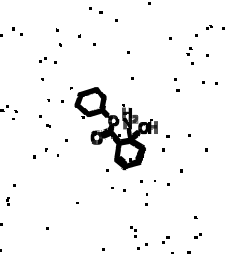 NC1(O)C=CC=CC1C(=O)OC1CCCCC1